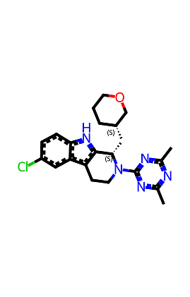 Cc1nc(C)nc(N2CCc3c([nH]c4ccc(Cl)cc34)[C@@H]2C[C@@H]2CCCOC2)n1